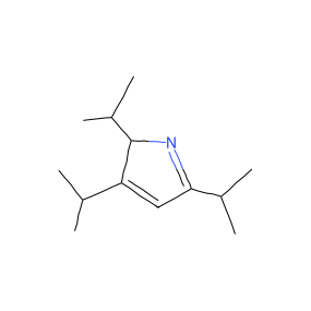 CC(C)C1=CC(C(C)C)=NC1C(C)C